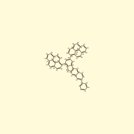 c1ccc(-c2ccc3cc4c(cc3c2)oc2c(-c3ccc5ccc6cccc7ccc3c5c67)cc(-c3ccc5ccc6cccc7ccc3c5c67)cc24)cc1